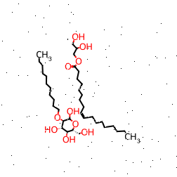 CCCCCCCC/C=C\CCCCCCCC(=O)OCC(O)CO.CCCCCCCCCCCO[C@H]1C(O)O[C@H](CO)[C@@H](O)[C@@H]1O